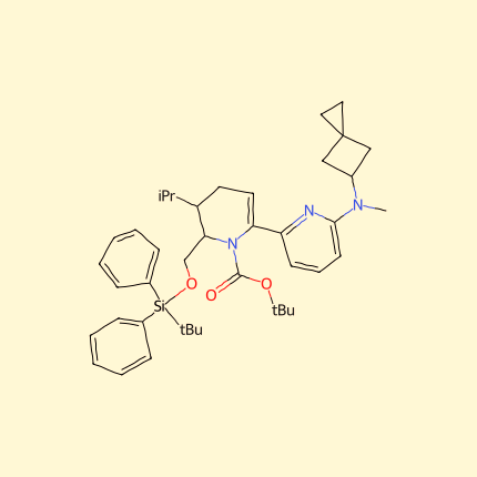 CC(C)C1CC=C(c2cccc(N(C)C3CC4(CC4)C3)n2)N(C(=O)OC(C)(C)C)C1CO[Si](c1ccccc1)(c1ccccc1)C(C)(C)C